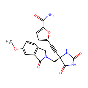 COc1ccc2c(c1)C(=O)N(C[C@@]1(C#Cc3ccc(C(N)=O)o3)NC(=O)NC1=O)C2